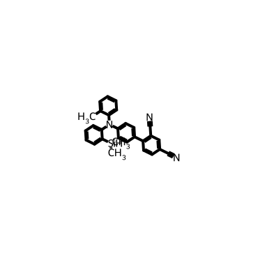 Cc1ccccc1N(c1ccc(-c2ccc(C#N)cc2C#N)cc1)c1ccccc1[SiH](C)C